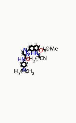 C=C(C#N)CNc1c(OCCOC)ccc2ccc(-c3nccc(C(=O)N[C@H]4CC[C@H](N(C)C)CC4)n3)cc12